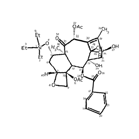 CC[Si](CC)(CC)O[C@H]1C[C@H]2OC[C@@]2(OC(C)=O)C2[C@H](OC(=O)c3ccccc3)[C@]3(O)C[C@H](O)C(C)=C([C@@H](OC(C)=O)C(=O)[C@@]21C)C3(C)C